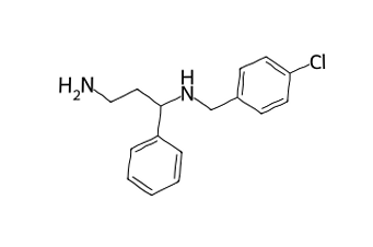 NCCC(NCc1ccc(Cl)cc1)c1ccccc1